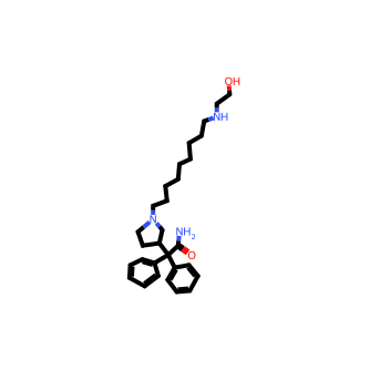 NC(=O)C(c1ccccc1)(c1ccccc1)C1CCN(CCCCCCCCCNCCO)C1